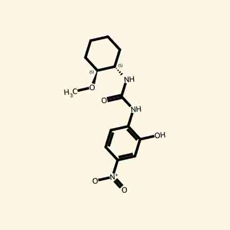 CO[C@H]1CCCC[C@@H]1NC(=O)Nc1ccc([N+](=O)[O-])cc1O